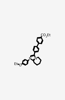 CCOC(=O)c1ccc(-c2ccc(-c3cn(-c4ccc(OCC)cc4)c4[n+]3CCCCC4)cc2)cc1